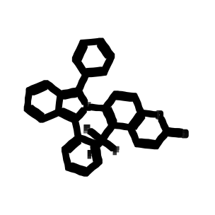 O=c1ccc2c(C(F)(F)F)c(-n3c(-c4ccccc4)c4ccccc4c3-c3ccccc3)ccc2o1